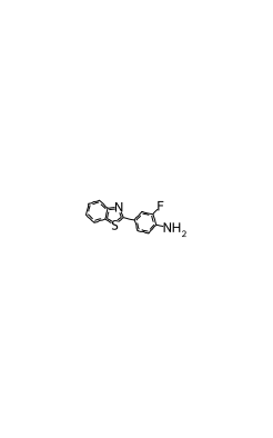 Nc1ccc(-c2nc3ccccc3s2)cc1F